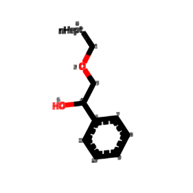 CCCCCCCCOCC(O)c1ccccc1